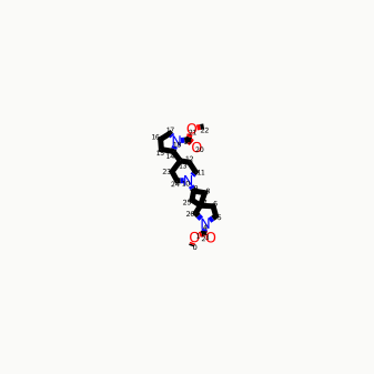 COC(=O)N1CCC2(CC(N3CCC(C4CCCN4C(=O)OC)CC3)C2)C1